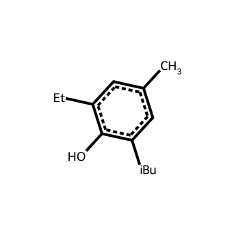 CCc1cc(C)cc(C(C)CC)c1O